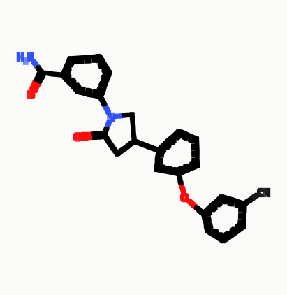 N#Cc1cccc(Oc2cccc(C3CC(=O)N(c4cccc(C(N)=O)c4)C3)c2)c1